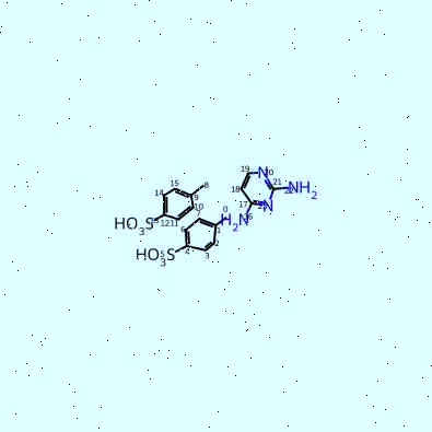 Cc1ccc(S(=O)(=O)O)cc1.Cc1ccc(S(=O)(=O)O)cc1.Nc1ccnc(N)n1